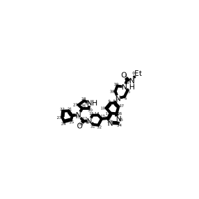 CCNC(=O)N1CCN(c2ccc3c(C4CCN(C(=O)N(c5ccccc5)C5CCNC5)CC4)ncnc3c2)CC1